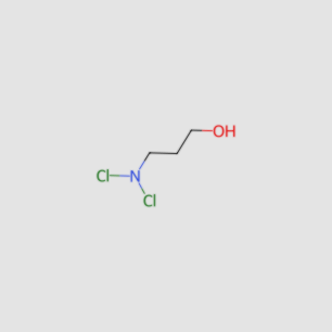 OCCCN(Cl)Cl